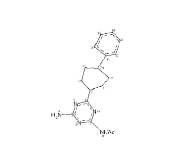 CC(=O)Nc1nc(N)nc(C2CCC(c3ccccc3)CC2)n1